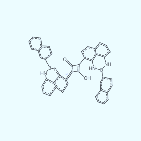 O=C1C(c2ccc3cccc4c3c2NB(c2ccc3ccccc3c2)N4)=C(O)/C1=c1\ccc2cccc3c2c1=NB(c1ccc2ccccc2c1)N3